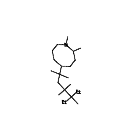 CCC(C)(CC)C(C)(C)CC(C)(C)C1CCCN(C)C(C)CC1